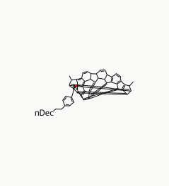 CCCCCCCCCCCCc1ccc(C2N(C)CC34C5=C6C7=C3C(C)C3=C8c9c(c%10c5c5c%11c%12c%13c(ccc%14c(c9c(c%14%13)c%10%11)C8C)C8C=CC9C(C=C7)C6C=5C9C%128)C324)cc1